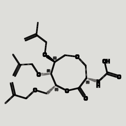 C=C(C)COC[C@H]1OC(=O)[C@@H](NC(=O)O)COC[C@H](OCC(=C)C)[C@H]1OCC(=C)C